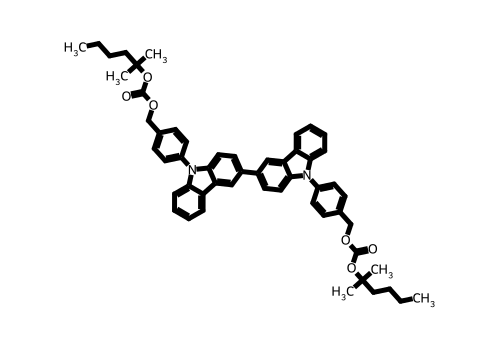 CCCCC(C)(C)OC(=O)OCc1ccc(-n2c3ccccc3c3cc(-c4ccc5c(c4)c4ccccc4n5-c4ccc(COC(=O)OC(C)(C)CCCC)cc4)ccc32)cc1